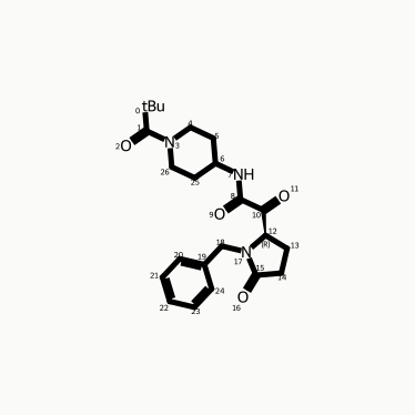 CC(C)(C)C(=O)N1CCC(NC(=O)C(=O)[C@H]2CCC(=O)N2Cc2ccccc2)CC1